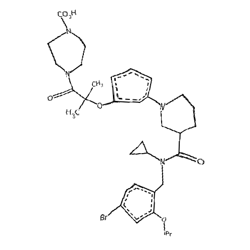 CC(C)Oc1cc(Br)ccc1CN(C(=O)C1CCCN(c2cccc(OC(C)(C)C(=O)N3CCN(C(=O)O)CC3)c2)C1)C1CC1